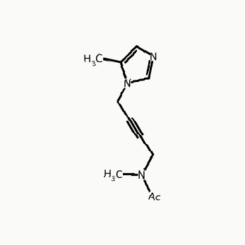 CC(=O)N(C)CC#CCn1cncc1C